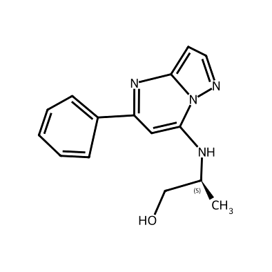 C[C@@H](CO)Nc1cc(-c2ccccc2)nc2ccnn12